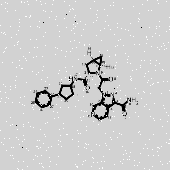 NC(=O)c1nn(CC(=O)N2[C@@H]3C[C@@H]3C[C@H]2C(=O)NC2CCC(c3ccccc3)C2)c2cnccc12